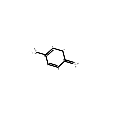 N=C1C=CC(S)=CC1